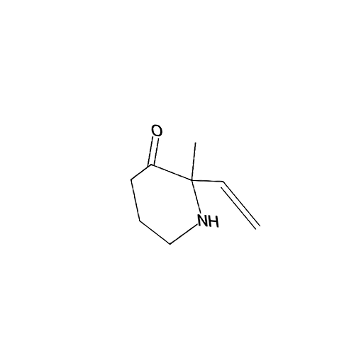 C=CC1(C)NCCCC1=O